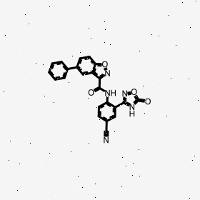 N#Cc1ccc(NC(=O)c2noc3ccc(-c4ccccc4)cc23)c(-c2noc(=O)[nH]2)c1